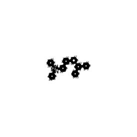 c1ccc(-c2cc(-c3ccccc3)cc([C@@H]3CCCC(c4cccc(-c5cccc(-c6nc(-c7ccccc7)nc(-c7ccccc7)n6)c5)c4)C3)c2)cc1